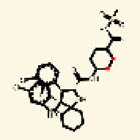 CS(=O)(=O)NC(=O)C12CCC(NC(=O)[C@@H]3NC4(CCCCC4)[C@@]4(C(=O)Nc5cc(Cl)ccc54)[C@H]3c3cccc(Cl)c3F)(CC1)CC2